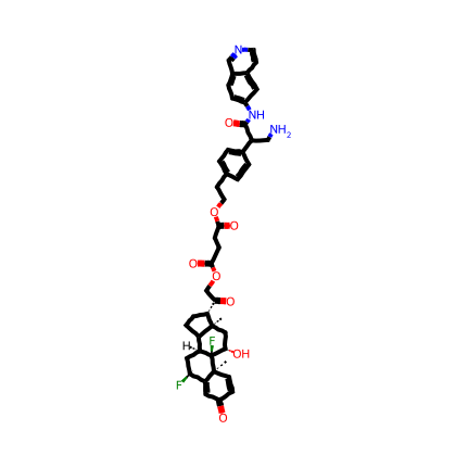 C[C@]12C[C@H](O)[C@@]3(F)[C@@H](C[C@H](F)C4=CC(=O)C=C[C@@]43C)C1CC[C@@H]2C(=O)COC(=O)CCC(=O)OCCc1ccc(C(CN)C(=O)Nc2ccc3cnccc3c2)cc1